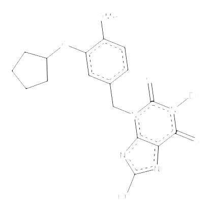 CCn1c(=S)c2[nH]c(C(C)C)nc2n(Cc2ccc(OC)c(OC3CCCC3)c2)c1=O